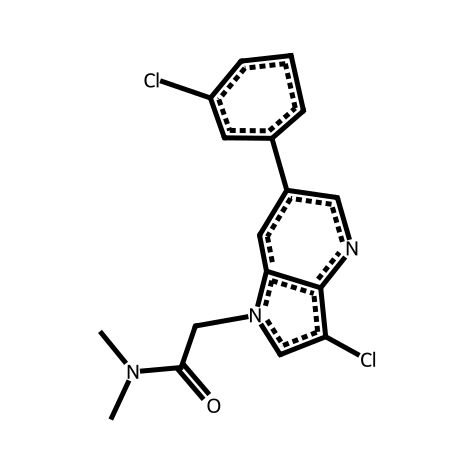 CN(C)C(=O)Cn1cc(Cl)c2ncc(-c3cccc(Cl)c3)cc21